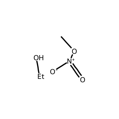 CCO.CO[N+](=O)[O-]